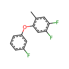 Cc1cc(F)c(F)cc1Oc1cccc(F)c1